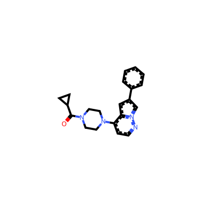 O=C(C1CC1)N1CCN(c2ccnn3cc(-c4ccccc4)cc23)CC1